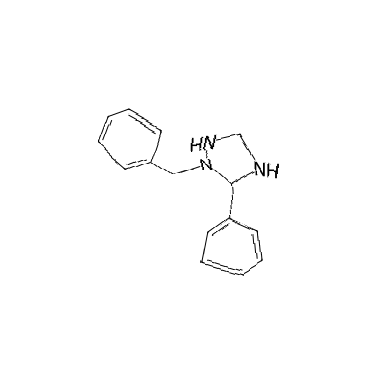 c1ccc(CN2NCNC2c2ccccc2)cc1